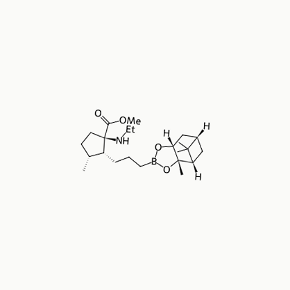 CCN[C@]1(C(=O)OC)CC[C@@H](C)[C@H]1CCCB1O[C@@H]2C[C@@H]3C[C@@H](C3(C)C)[C@]2(C)O1